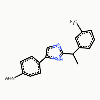 CNc1ccc(-c2cnc(C(C)c3cccc(C(F)(F)F)c3)[nH]2)cc1